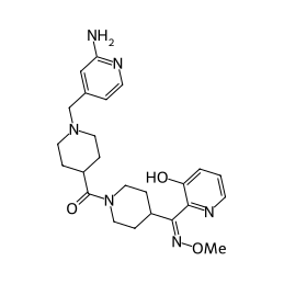 CO/N=C(\c1ncccc1O)C1CCN(C(=O)C2CCN(Cc3ccnc(N)c3)CC2)CC1